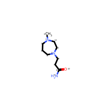 CN1CCCN(CCC(N)=O)CC1